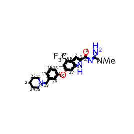 CNC(N)=NC(=O)c1cc2c(C(F)(F)F)cc(Oc3cccc(CN4CCCCC4)c3)cc2[nH]1